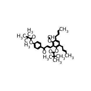 CC=CCc1cc(CC=CC)c(OC(=O)C(C)(C)C)c(C=CC(=O)c2ccc(OC(=O)C(C)(C)C)cc2)c1OC